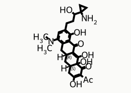 CC(=O)C1=C(O)C[C@@H]2C[C@@H]3Cc4c(N(C)C)cc(CCC(O)C5(N)CC5)c(O)c4C(=O)C3=C(O)C2(O)C1=O